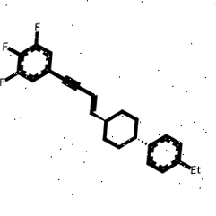 CCc1ccc([C@H]2CC[C@H](C=CC#Cc3cc(F)c(F)c(F)c3)CC2)cc1